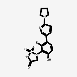 O=C1CN(c2c(O)ccc(-c3ccc(N4CCCC4)nc3)c2F)S(=O)(=O)N1